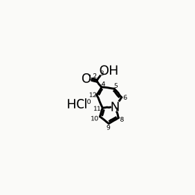 Cl.O=C(O)c1ccn2cccc2c1